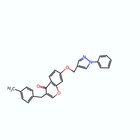 Cc1ccc(Cc2coc3cc(OCc4cnn(-c5ccccc5)c4)ccc3c2=O)cc1